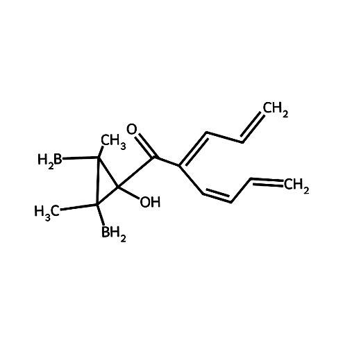 BC1(C)C(B)(C)C1(O)C(=O)C(/C=C\C=C)=C/C=C